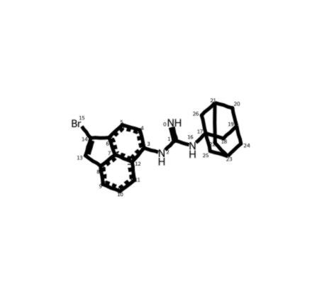 N=C(Nc1ccc2c3c(cccc13)C=C2Br)NC12CC3CC(CC(C3)C1)C2